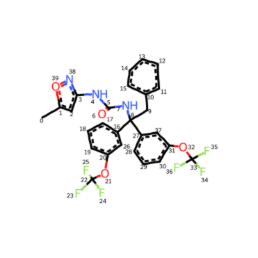 Cc1cc(NC(=O)NC(Cc2ccccc2)(c2cccc(OC(F)(F)F)c2)c2cccc(OC(F)(F)F)c2)no1